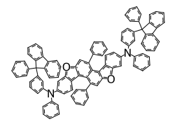 c1ccc(-c2cc3oc4cc(N(c5ccccc5)c5cccc(C6(c7ccccc7)c7ccccc7-c7ccccc76)c5)ccc4c3c3c(-c4ccccc4)cc4oc5cc(N(c6ccccc6)c6cccc(C7(c8ccccc8)c8ccccc8-c8ccccc87)c6)ccc5c4c23)cc1